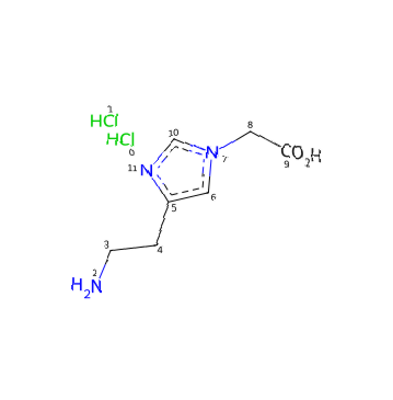 Cl.Cl.NCCc1cn(CC(=O)O)cn1